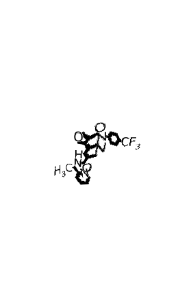 C[C@H](NC(=O)c1cnc2c(c1)c1cocc1c(=O)n2-c1ccc(C(F)(F)F)cc1)c1ccccn1